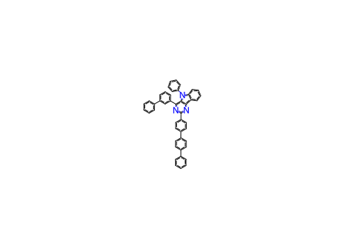 c1ccc(-c2ccc(-c3ccc(-c4nc(-c5cccc(-c6ccccc6)c5)c5c(n4)c4ccccc4n5-c4ccccc4)cc3)cc2)cc1